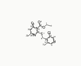 CCOC(=O)n1c(SCc2c(C)cncc2Cl)nc(C)cc1=O